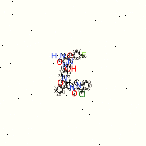 Cn1c(C(=O)N2CC[C@@H](C(=O)N3CCC(O)(Cn4cnc(Oc5ccc(F)cc5)c(N)c4=O)CC3)[C@H](c3ccccc3)C2)c(Cl)c2ccccc21